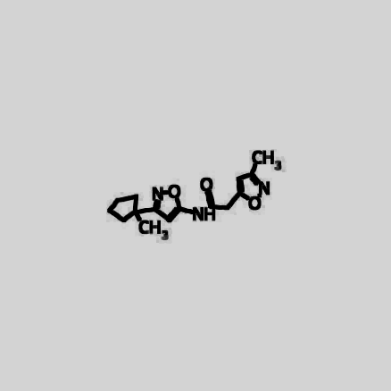 Cc1cc(CC(=O)Nc2cc(C3(C)CCCC3)no2)on1